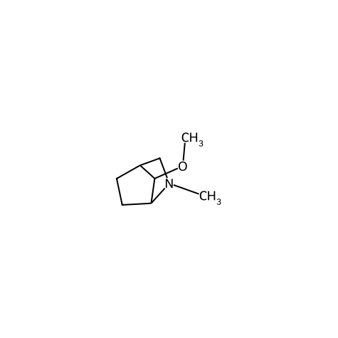 COC1C2CCC1N(C)C2